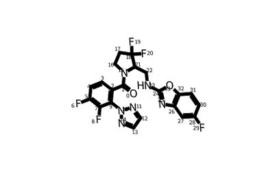 O=C(c1ccc(F)c(F)c1-n1nccn1)N1CCC(F)(F)C1CNc1nc2cc(F)ccc2o1